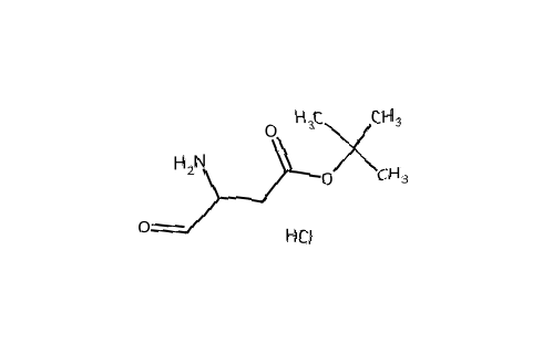 CC(C)(C)OC(=O)CC(N)C=O.Cl